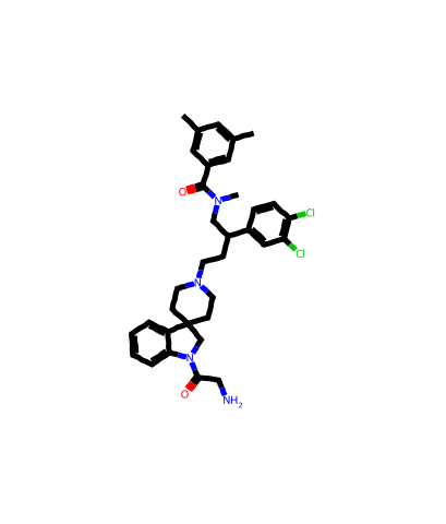 Cc1cc(C)cc(C(=O)N(C)CC(CCN2CCC3(CC2)CN(C(=O)CN)c2ccccc23)c2ccc(Cl)c(Cl)c2)c1